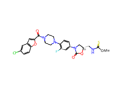 COC(=S)NC[C@H]1CN(c2ccc(N3CCN(C(=O)c4cc5cc(Cl)ccc5o4)CC3)c(F)c2)C(=O)O1